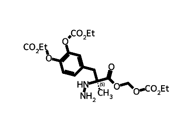 CCOC(=O)OCOC(=O)[C@](C)(Cc1ccc(OC(=O)OCC)c(OC(=O)OCC)c1)NN